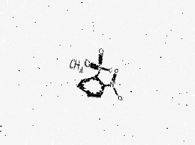 C.O=[N+]([O-])c1ccccc1S(=O)(=O)Cl